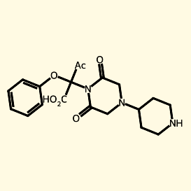 CC(=O)C(Oc1ccccc1)(C(=O)O)N1C(=O)CN(C2CCNCC2)CC1=O